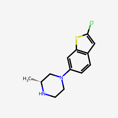 C[C@@H]1CN(c2ccc3cc(Cl)sc3c2)CCN1